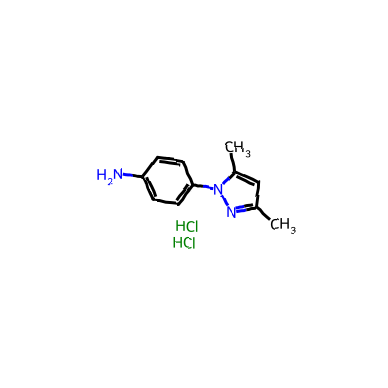 Cc1cc(C)n(-c2ccc(N)cc2)n1.Cl.Cl